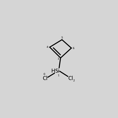 Cl[SiH](Cl)C1=CCC1